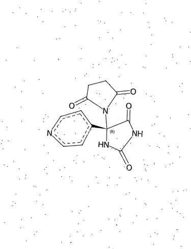 O=C1NC(=O)[C@@](c2ccncc2)(N2C(=O)CCC2=O)N1